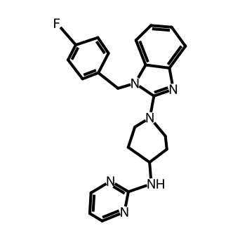 Fc1ccc(Cn2c(N3CCC(Nc4ncccn4)CC3)nc3ccccc32)cc1